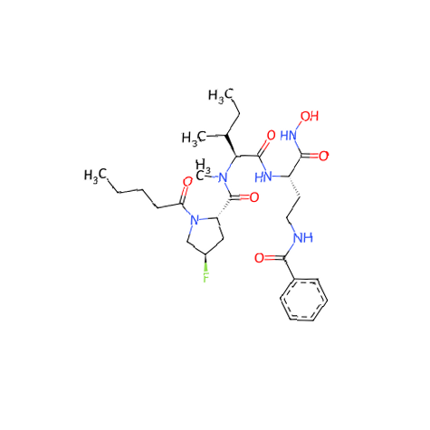 CCCCC(=O)N1C[C@H](F)C[C@H]1C(=O)N(C)[C@H](C(=O)N[C@@H](CCNC(=O)c1ccccc1)C(=O)NO)C(C)CC